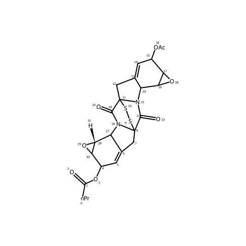 CCCC(=O)OC1C=C2CC34SSC5(CC6=CC(OC(C)=O)C7OC7C6N5C3=O)C(=O)N4C2[C@H]2OC12